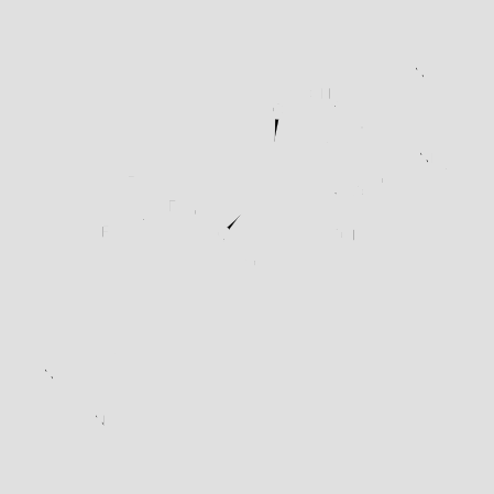 CO[C@@H]1C[C@H](S(=O)(=O)c2ccc(-c3cncnc3)cc2C(F)(F)F)C[C@@]1(C(=O)O)C1CC1(C#N)C(N)=O